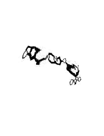 CC(c1ccc2c(c1)OCC2)N1CCN2CC(Oc3ccc(S(C)(=O)=O)cn3)CC2C1